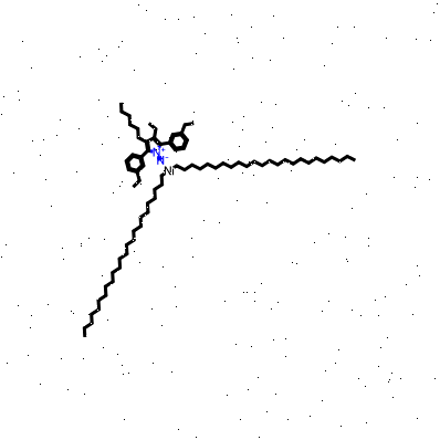 CCCCCCC1=C(c2cccc(CC)c2)[N+](=[N-])C(c2cccc(CC)c2)=C1CC.CCCCCCCCCCCCCCCCCCCCCCC[CH2][Ni][CH2]CCCCCCCCCCCCCCCCCCCCCCC